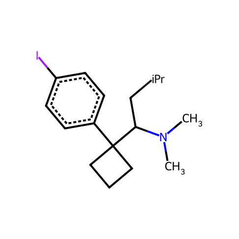 CC(C)CC(N(C)C)C1(c2ccc(I)cc2)CCC1